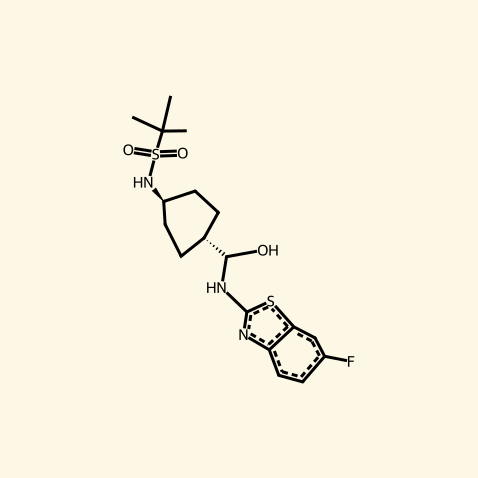 CC(C)(C)S(=O)(=O)N[C@H]1CC[C@H](C(O)Nc2nc3ccc(F)cc3s2)CC1